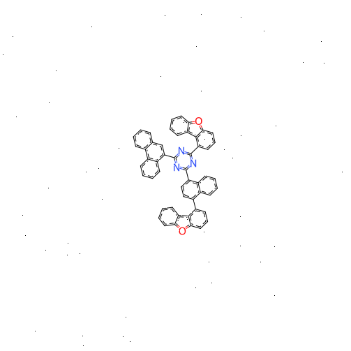 c1ccc2c(c1)cc(-c1nc(-c3ccc(-c4cccc5oc6ccccc6c45)c4ccccc34)nc(-c3cccc4oc5ccccc5c34)n1)c1ccccc12